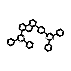 c1ccc(-c2cc(-c3ccc(-c4cccc5c4ccc4c(-c6cc(-c7ccccc7)nc(-c7ccccc7)n6)cccc45)cc3)nc(-c3ccccc3)n2)cc1